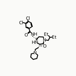 CCC(CC)CN1CC[C@@H](CNC(=O)c2ccc(Cl)c(Cl)c2)N[C@@H](CCN2CCCCC2)C1=O